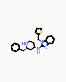 c1ccc(C[C@@H]2C[C@@H](Nc3nc4ccccc4n3Cc3cccs3)CCN2)cc1